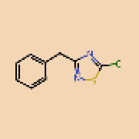 Clc1nc(Cc2ccccc2)ns1